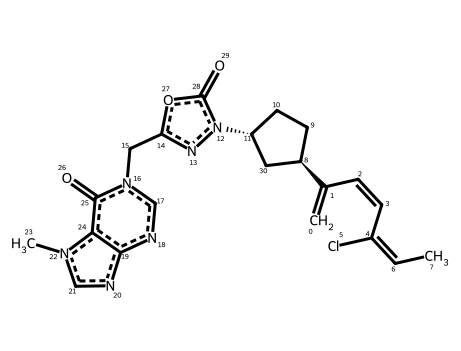 C=C(/C=C\C(Cl)=C/C)[C@@H]1CC[C@@H](n2nc(Cn3cnc4ncn(C)c4c3=O)oc2=O)C1